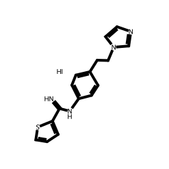 I.N=C(Nc1ccc(CCn2ccnc2)cc1)c1cccs1